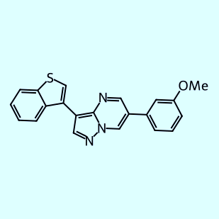 COc1cccc(-c2cnc3c(-c4csc5ccccc45)cnn3c2)c1